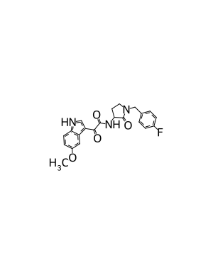 COc1ccc2[nH]cc(C(=O)C(=O)NC3CCN(Cc4ccc(F)cc4)C3=O)c2c1